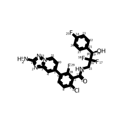 Nc1nc2cc(-c3ccc(Cl)c(C(=O)NCC(F)(F)[C@H](O)c4ccc(F)cc4)c3F)ccn2n1